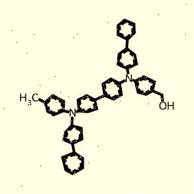 Cc1ccc(N(c2ccc(-c3ccccc3)cc2)c2ccc(-c3ccc(N(c4ccc(CO)cc4)c4ccc(-c5ccccc5)cc4)cc3)cc2)cc1